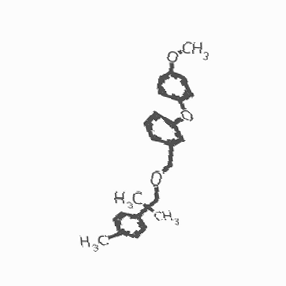 COc1ccc(Oc2cccc(COCC(C)(C)c3ccc(C)cc3)c2)cc1